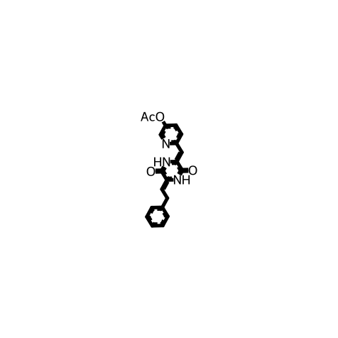 CC(=O)Oc1ccc(C=c2[nH]c(=O)c(=CCc3ccccc3)[nH]c2=O)nc1